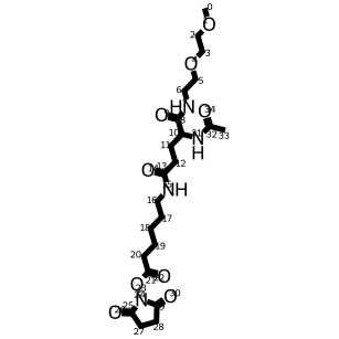 COCCOCCNC(=O)C(CCC(=O)NCCCCCC(=O)ON1C(=O)CCC1=O)NC(C)=O